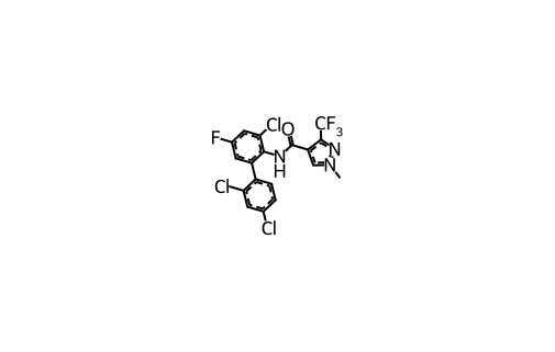 Cn1cc(C(=O)Nc2c(Cl)cc(F)cc2-c2ccc(Cl)cc2Cl)c(C(F)(F)F)n1